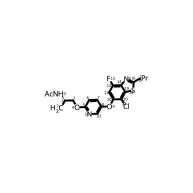 CC(=O)N[C@@H](C)COc1ccc(Oc2cc(F)c3nc(C(C)C)sc3c2Cl)cn1